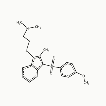 COc1ccc(S(=O)(=O)n2c(C)c(SCCN(C)C)c3ccccc32)cc1